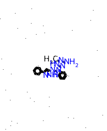 Cc1nc(N)nc(-n2c(Nc3cc(C4CCCCC4)n[nH]3)nc3ccccc32)n1